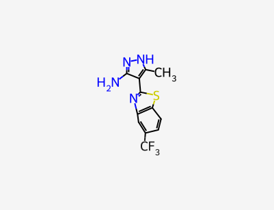 Cc1[nH]nc(N)c1-c1nc2cc(C(F)(F)F)ccc2s1